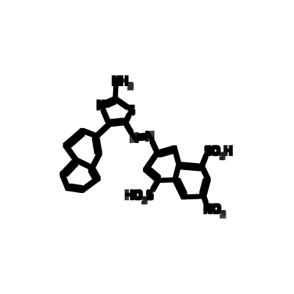 Nc1nc(-c2ccc3ccccc3c2)c(/N=N/c2cc(S(=O)(=O)O)c3cc([N+](=O)[O-])cc(S(=O)(=O)O)c3c2)s1